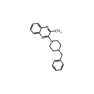 Cc1nc2ccccc2nc1N1CCN(Cc2ccccc2)CC1